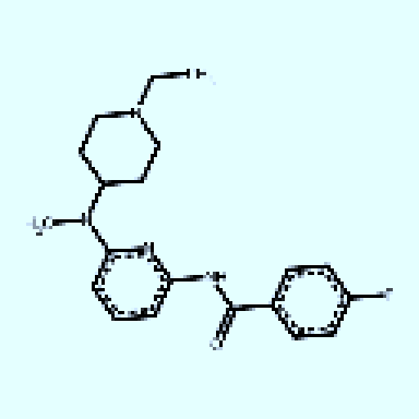 CCN1CCC(N(C)c2cccc(NC(=O)c3ccc(F)cc3)n2)CC1